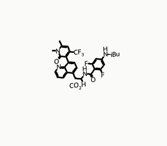 CC[C@H](C)Nc1cc(F)c(C(=O)NC(Cc2ccc(-c3c(C(F)(F)F)cc(C)n(C)c3=O)c3ncccc23)C(=O)O)c(F)c1